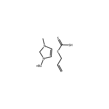 C=CCSC(=S)S.CCCCN1C=CN(C)C1